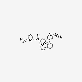 COc1ccc(N(CC(=O)NCc2cccc(C)n2)[S+]([O-])c2ncccc2C)cn1